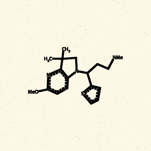 CNCCC(c1cccs1)N1CC(C)(C)c2nc(OC)ccc21